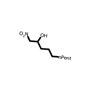 CCCCCCCCC(O)C[N+](=O)[O-]